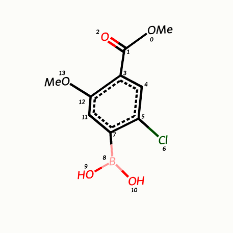 COC(=O)c1cc(Cl)c(B(O)O)cc1OC